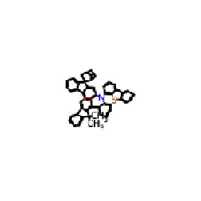 CC1(C)c2ccccc2-c2cccc(-c3ccccc3N(c3ccc4c(c3)C3(CC5CCC3C5)c3ccccc3-4)c3cccc4c3sc3ccccc34)c21